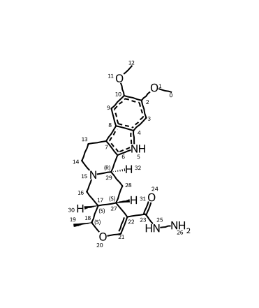 COc1cc2[nH]c3c(c2cc1OC)CCN1C[C@H]2[C@H](C)OC=C(C(=O)NN)[C@H]2C[C@H]31